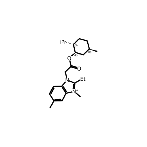 CCc1n(CC(=O)O[C@@H]2C[C@H](C)CC[C@H]2C(C)C)c2ccc(C)cc2[n+]1C